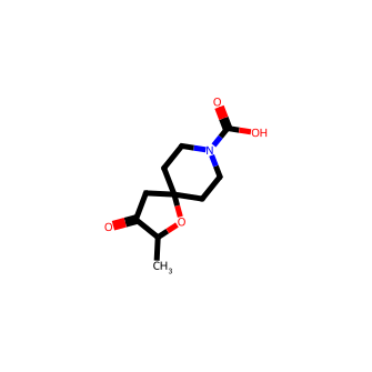 CC1OC2(CCN(C(=O)O)CC2)CC1=O